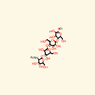 CCO[C@@H]1OC(CO)[C@@H](O[C@@H]2OC(CO)[C@H](O[C@H]3OC(CO)[C@H](O)[C@H](O[C@@H]4OC(CO)[C@H](O)[C@H](O)C4NC(C)=O)C3O)[C@H](O)C2O)[C@H](O)C1O